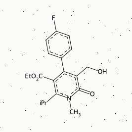 CCOC(=O)c1c(-c2ccc(F)cc2)c(CO)c(=O)n(C)c1C(C)C